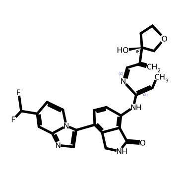 C=C(/C=N\C(=C/C)Nc1ccc(-c2cnc3cc(C(F)F)ccn23)c2c1C(=O)NC2)[C@]1(O)CCOC1